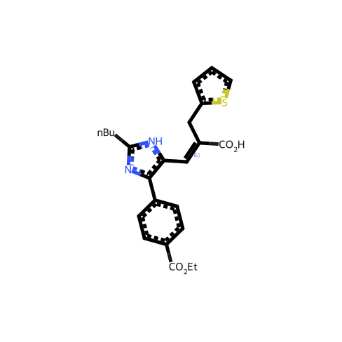 CCCCc1nc(-c2ccc(C(=O)OCC)cc2)c(/C=C(\Cc2cccs2)C(=O)O)[nH]1